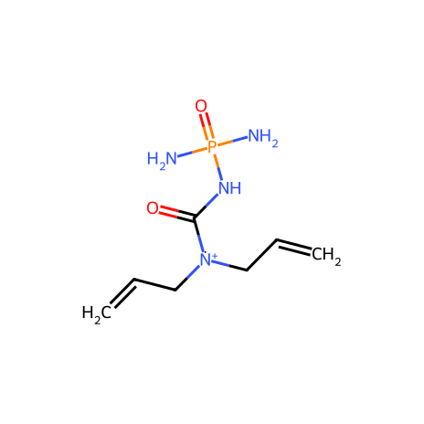 C=CC[N+](CC=C)C(=O)NP(N)(N)=O